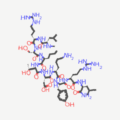 CCCC[C@H](NC(=O)[C@H](CO)NC(=O)[C@H](CCCNC(=N)N)NC(=O)[C@H](CC(C)C)NC)C(=O)N[C@H](C(=O)N[C@@H](CC(=O)O)C(=O)N[C@@H](CCCCN)C(=O)N[C@@H](Cc1ccc(O)cc1)C(=O)N[C@@H](CCCNC(=N)N)C(=O)N[C@@H](CC(C)C)C(N)=O)[C@@H](C)O